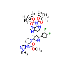 COC(=O)NC1(c2cnn(C)c2)CCCN(c2cnc(-c3ccc(F)c(F)c3)cc2Cn2cnc3c(N(C(=O)OC(C)(C)C)C(=O)OC(C)(C)C)nccc32)C1